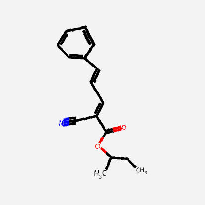 CCC(C)OC(=O)/C(C#N)=C/C=C/c1ccccc1